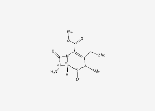 CSC1C(COC(C)=O)=C(C(=O)OC(C)(C)C)N2C(=O)[C@@H](N)[C@H]2[S+]1[O-]